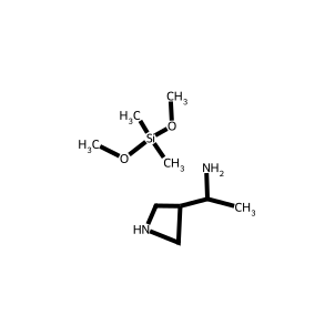 CC(N)C1CNC1.CO[Si](C)(C)OC